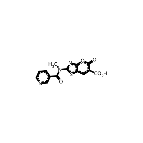 CN(C(=O)c1cccnc1)c1nc2oc(=O)c(C(=O)O)cc2s1